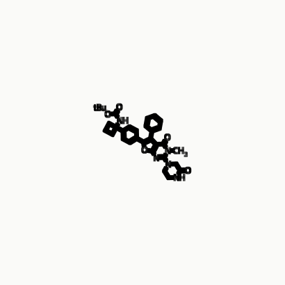 Cn1c(N2CCNC(=O)C2)nc2oc(-c3ccc(C4(NC(=O)OC(C)(C)C)CCC4)cc3)c(-c3ccccc3)c2c1=O